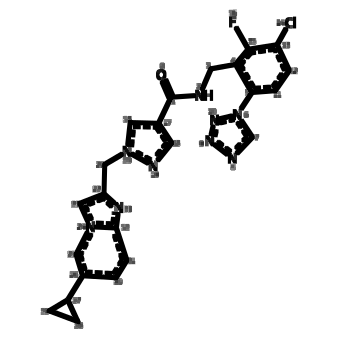 O=C(NCc1c(-n2cnnn2)ccc(Cl)c1F)c1cnn(Cc2cn3cc(C4CC4)ccc3n2)c1